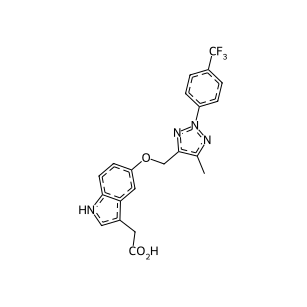 Cc1nn(-c2ccc(C(F)(F)F)cc2)nc1COc1ccc2[nH]cc(CC(=O)O)c2c1